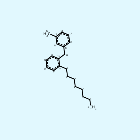 CCCCCCCCc1ccccc1Cc1cccc(C)c1